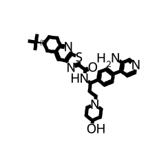 CC(C)(C)[C@H]1CCc2nc3sc(C(=O)NC(CCN4CCC(O)CC4)c4ccc(-c5ccncc5N)cc4)nc3cc2C1